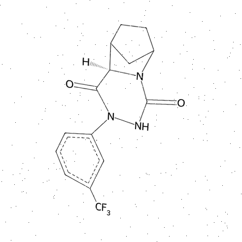 O=C1[C@H]2C3CCC(C3)N2C(=O)NN1c1cccc(C(F)(F)F)c1